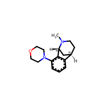 CN1CC[C@@H]2C[C@@H]1c1c2cccc1N1CCOCC1